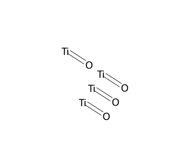 [O]=[Ti].[O]=[Ti].[O]=[Ti].[O]=[Ti]